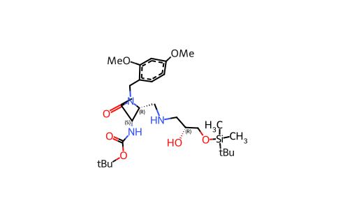 COc1ccc(CN2C(=O)[C@@H](NC(=O)OC(C)(C)C)[C@H]2CNC[C@@H](O)CO[Si](C)(C)C(C)(C)C)c(OC)c1